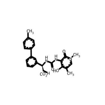 Cc1ccc(-c2cccc([C@H](CC(=O)O)NC(=O)Nc3c(O)c(C)cn(C)c3=O)c2)cc1